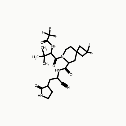 CC(C)(C)C(NC(=O)C(F)(F)F)C(=O)N1CCC2(CC1C(=O)NC(C#N)CC1CCNC1=O)CC(F)(F)C2